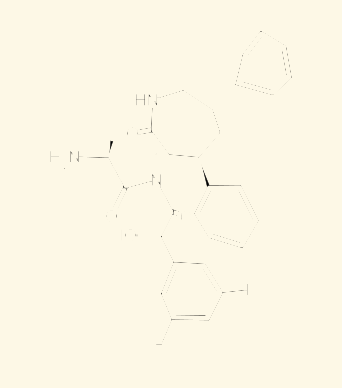 C[C@H](N)C(=O)N(C(=O)[C@@H](O)c1cc(F)cc(F)c1)[C@@H]1C(=O)NC[C@H](c2ccccc2)C[C@H]1c1ccccc1